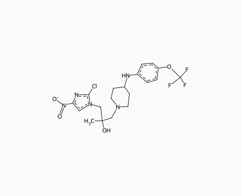 CC(O)(CN1CCC(Nc2ccc(OC(F)(F)F)cc2)CC1)Cn1cc([N+](=O)[O-])nc1Cl